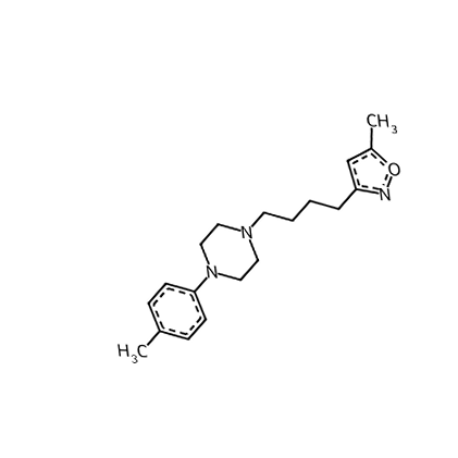 Cc1ccc(N2CCN(CCCCc3cc(C)on3)CC2)cc1